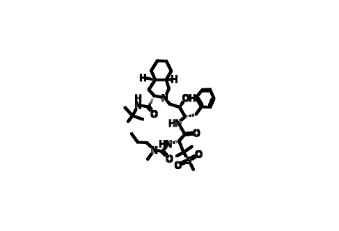 CCCN(C)C(=O)N[C@H](C(=O)N[C@@H](Cc1ccccc1)[C@H](O)CN1C[C@H]2CCCC[C@H]2C[C@H]1C(=O)NC(C)(C)C)C(C)(C)S(C)(=O)=O